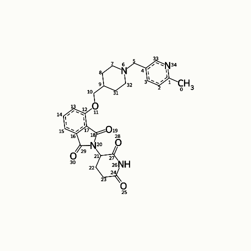 Cc1ccc(CN2CCC(COc3cccc4c3C(=O)N(C3CCC(=O)NC3=O)C4=O)CC2)cn1